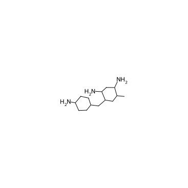 CC1CC(CC2CCC(N)CC2)C(N)CC1N